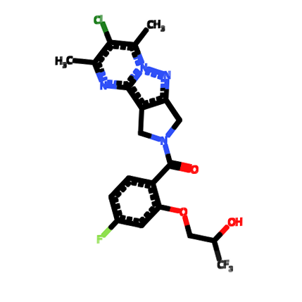 Cc1nc2c3c(nn2c(C)c1Cl)CN(C(=O)c1ccc(F)cc1OCC(O)C(F)(F)F)C3